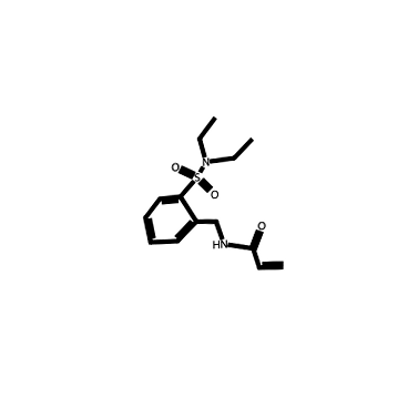 C=CC(=O)NCc1ccccc1S(=O)(=O)N(CC)CC